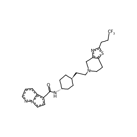 O=C(N[C@H]1CC[C@H](CCN2CCc3sc(CCC(F)(F)F)nc3C2)CC1)c1ccn2ncccc12